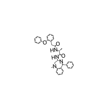 C[C@H](NC(=O)Cc1ccccc1Oc1ccccc1)C(=O)N[C@@H]1CN(C)c2ccccc2C(c2ccccc2)=N1